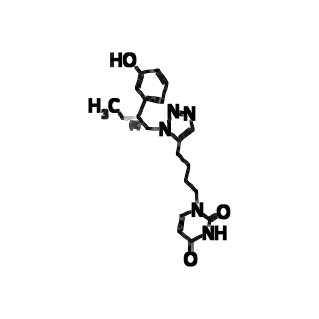 CC[C@@H](Cn1nncc1CCCCn1ccc(=O)[nH]c1=O)c1cccc(O)c1